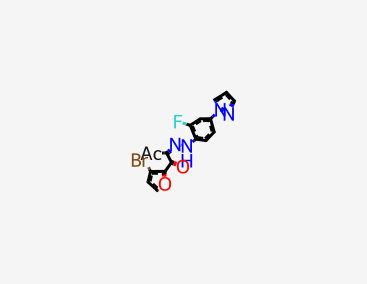 CC(=O)C(=NNc1ccc(-n2cccn2)cc1F)C(=O)c1occc1Br